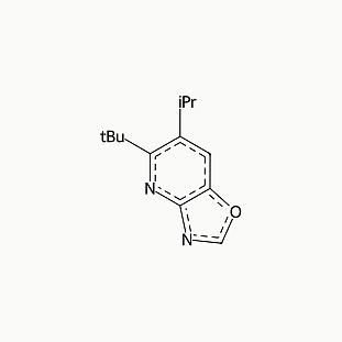 CC(C)c1cc2ocnc2nc1C(C)(C)C